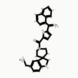 C=C(c1ccc(C(=O)N2CCC3(CC2)COc2ccc(CN)cc23)o1)c1cccc2ccccc12